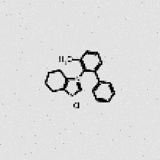 Cc1cccc(-c2ccccc2)c1-[n+]1csc2c1CCCC2.[Cl-]